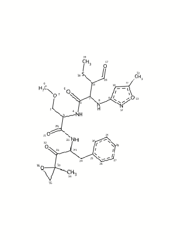 COCC(NC(=O)C(Nc1cc(C)on1)C(C=O)SC)C(=O)NC(Cc1ccccc1)C(=O)C1(C)CO1